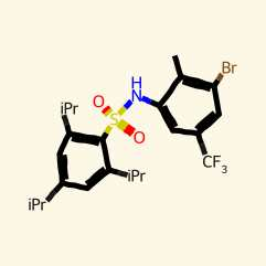 Cc1c(Br)cc(C(F)(F)F)cc1NS(=O)(=O)c1c(C(C)C)cc(C(C)C)cc1C(C)C